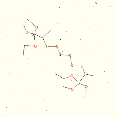 CCO[Si](OC)(OC)C(C)SSSSSSC(C)[Si](OC)(OC)OCC